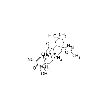 Cc1nnc([C@]23CCC(C)(C)CC2C2C(=O)C=C4[C@@]5(C)C=C(C#N)C(=O)[C@@](C)(CO)[C@@H]5CC[C@@]4(C)[C@]2(C)CC3)o1